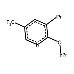 CCCOc1ncc(C(F)(F)F)cc1C(C)C